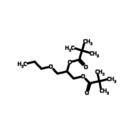 CCCOCC(COC(=O)C(C)(C)C)OC(=O)C(C)(C)C